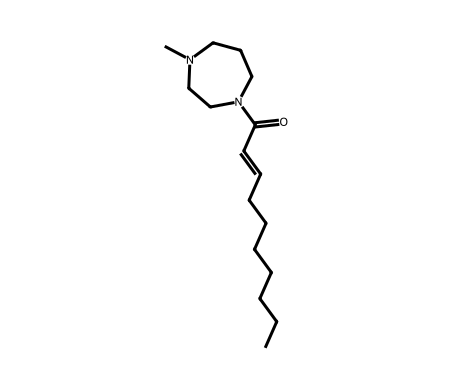 CCCCCCC/C=C/C(=O)N1CCCN(C)CC1